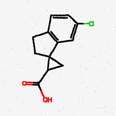 O=C(O)C1CC12CCc1ccc(Cl)cc12